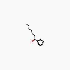 CCCCCCC(=O)c1[c]cccc1